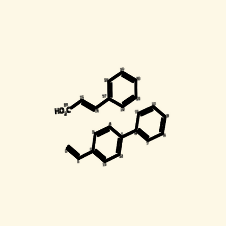 C=Cc1ccc(-c2ccccc2)cc1.O=C(O)C=Cc1ccccc1